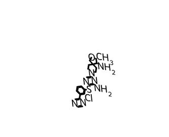 C[C@@H]1OCC2(CCN(c3cnc(Sc4cccc(-c5cnccn5)c4Cl)c(N)n3)CC2)[C@@H]1N